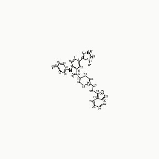 Cn1nncc1-c1ccc2c(c1)c(C1CCN(CCc3occ4ccccc34)CC1)cn2-c1ccc(F)cc1